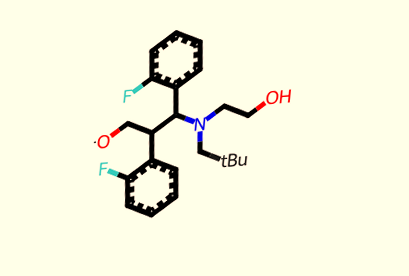 CC(C)(C)CN(CCO)C(c1ccccc1F)C(C[O])c1ccccc1F